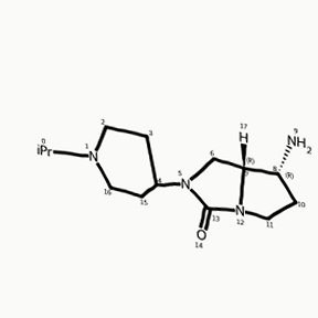 CC(C)N1CCC(N2C[C@@H]3[C@H](N)CCN3C2=O)CC1